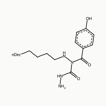 CCCCCCCCCCCCCCNN(C(=O)NN)C(=O)c1ccc(O)cc1